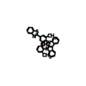 Cc1cccc(C)c1-n1c2ccccc2c2c3ccccc3n(-c3c(C)cc(-c4nc5ccccc5s4)cc3C)c21